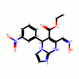 CCOC(=O)C1=C(/C=N\O)Nc2nccn2C1c1cccc([N+](=O)[O-])c1